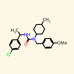 COc1ccc(CN(C(=O)NC(C)c2ccc(Cl)cc2)C2CCC(C)CC2)cc1